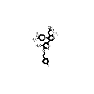 Cc1cc(-c2cnc(C)c(CC(=O)O)c2N2CCC(C)(C)CC2)nnc1OCCc1ccc(F)cc1